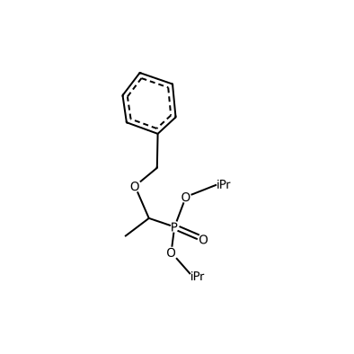 CC(C)OP(=O)(OC(C)C)C(C)OCc1ccccc1